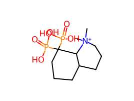 C[N+]1(C)CCCC2CCCC(P(=O)(O)O)(P(=O)(O)O)C21